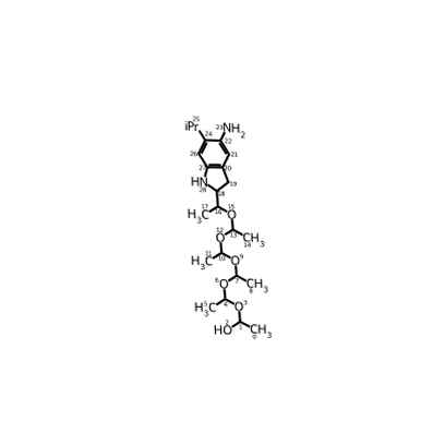 CC(O)OC(C)OC(C)OC(C)OC(C)OC(C)C1Cc2cc(N)c(C(C)C)cc2N1